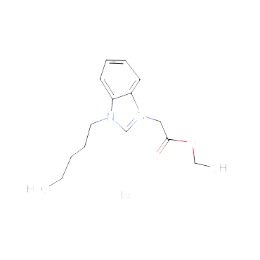 CCCCCn1c[n+](CC(=O)OCC)c2ccccc21.[Br-]